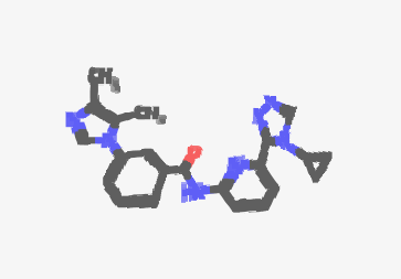 Cc1ncn(-c2cccc(C(=O)Nc3cccc(-c4nncn4C4CC4)n3)c2)c1C